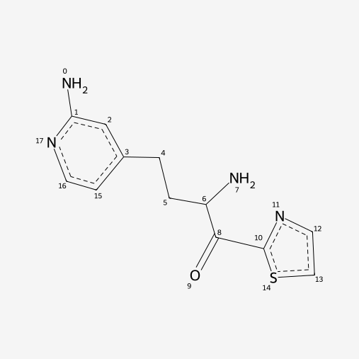 Nc1cc(CCC(N)C(=O)c2nccs2)ccn1